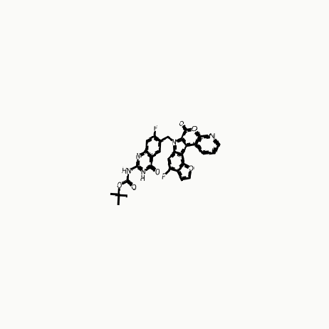 CC(C)(C)OC(=O)Nc1nc2cc(F)c(Cn3c4cc(F)c5ccoc5c4c4c5cccnc5oc(=O)c43)cc2c(=O)[nH]1